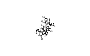 COC(=O)NC(C(=O)C(C)CCC(C)(OC)C(NC(=O)OC)C(=O)C(C)C)C(C)OC